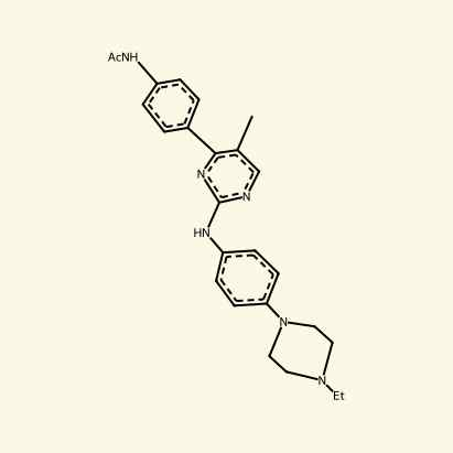 CCN1CCN(c2ccc(Nc3ncc(C)c(-c4ccc(NC(C)=O)cc4)n3)cc2)CC1